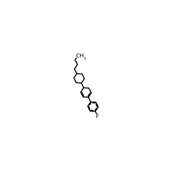 CCCCC1CCC(C2C=CC(c3ccc(F)cc3)=CC2)CC1